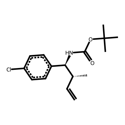 C=C[C@@H](C)[C@H](NC(=O)OC(C)(C)C)c1ccc(Cl)cc1